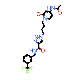 CC(=O)Nc1ccn(CCCCn2cc(C(=O)NCc3cccc(C(F)(F)F)c3)nn2)c(=O)c1